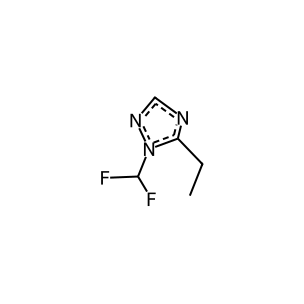 CCc1ncnn1C(F)F